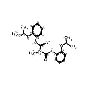 CC(C)Oc1ccccc1OC(=O)N(C)C(=O)Oc1ccccc1OC(C)C